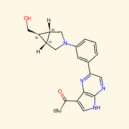 CC(C)(C)C(=O)c1c[nH]c2ncc(-c3cccc(N4C[C@@H]5[C@@H](CO)[C@@H]5C4)c3)nc12